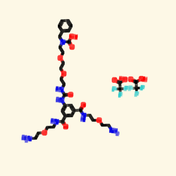 NCCOCCNC(=O)c1cc(NC(=O)NCCOCCOCCN(Cc2ccccc2)C(=O)O)cc(C(=O)NCCOCCN)c1.O=C(O)C(F)(F)F.O=C(O)C(F)(F)F